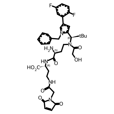 CC(C)(C)[C@H](c1cc(-c2cc(F)ccc2F)cn1Cc1ccccc1)N(CC[C@H](N)C(=O)N[C@H](CCNC(=O)CN1C(=O)C=CC1=O)C(=O)O)C(=O)CO